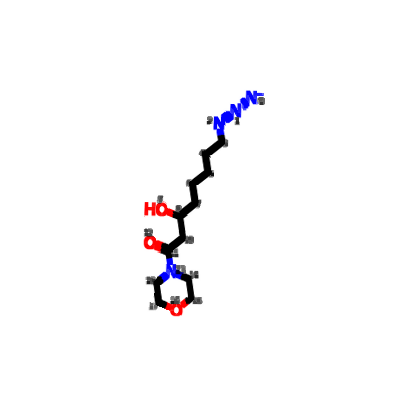 [N-]=[N+]=NCCCCCC(O)CC(=O)N1CCOCC1